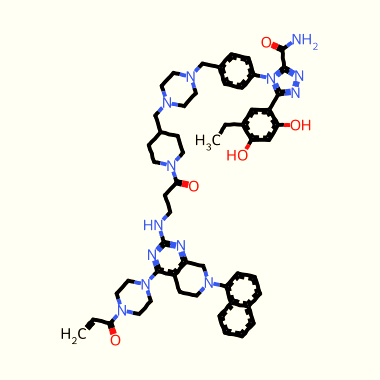 C=CC(=O)N1CCN(c2nc(NCCC(=O)N3CCC(CN4CCN(Cc5ccc(-n6c(C(N)=O)nnc6-c6cc(CC)c(O)cc6O)cc5)CC4)CC3)nc3c2CCN(c2cccc4ccccc24)C3)CC1